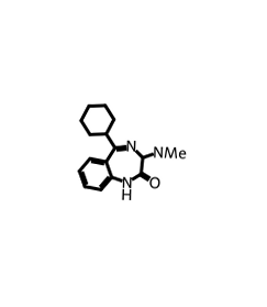 CNC1N=C(C2CCCCC2)c2ccccc2NC1=O